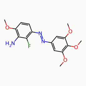 COc1ccc(N=Nc2cc(OC)c(OC)c(OC)c2)c(F)c1N